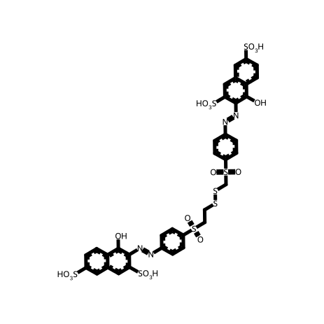 O=S(=O)(O)c1ccc2c(O)c(N=Nc3ccc(S(=O)(=O)CCSSCS(=O)(=O)c4ccc(N=Nc5c(S(=O)(=O)O)cc6cc(S(=O)(=O)O)ccc6c5O)cc4)cc3)c(S(=O)(=O)O)cc2c1